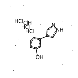 Cl.Cl.Cl.Cl.Oc1cccc(-c2cn[nH]c2)c1